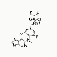 CCc1cc(CNS(=O)(=O)C(F)F)cc(F)c1N(C)c1cc2c(cn1)ncn2C